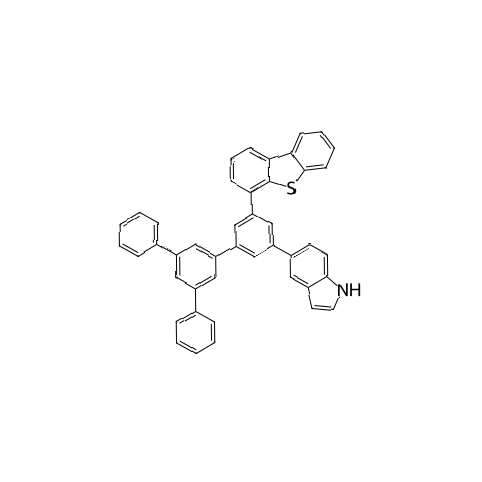 c1ccc(-c2cc(-c3ccccc3)cc(-c3cc(-c4ccc5[nH]ccc5c4)cc(-c4cccc5c4sc4ccccc45)c3)c2)cc1